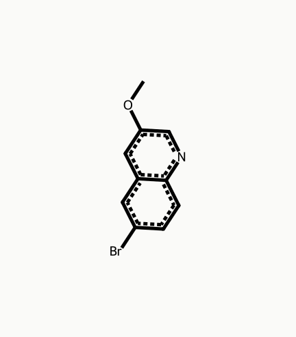 COc1cnc2ccc(Br)cc2c1